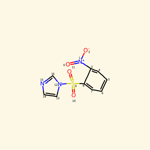 O=[N+]([O-])c1ccccc1S(=O)(=O)n1ccnc1